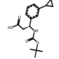 CC(C)(C)OC(=O)N[C@@H](CC(=O)O)c1cccc(C2CC2)c1